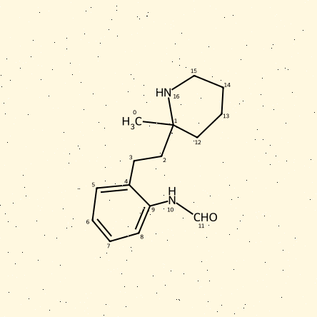 CC1(CCc2ccccc2NC=O)CCCCN1